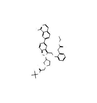 CCOC(=O)Cc1ccccc1OCc1c2cc(-c3ccc4ccnc(N)c4c3)ccc2nn1C1CCN(CC(=O)OC(C)(C)C)C1